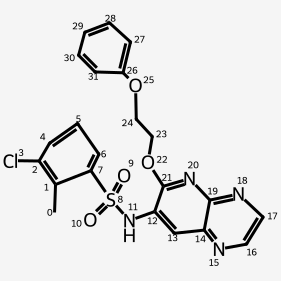 Cc1c(Cl)cccc1S(=O)(=O)Nc1cc2nccnc2nc1OCCOc1ccccc1